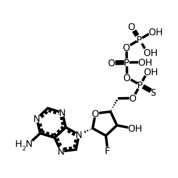 Nc1ncnc2c1ncn2[C@@H]1O[C@H](COP(O)(=S)OP(=O)(O)OP(=O)(O)O)C(O)C1F